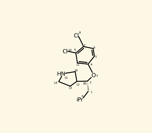 CC(C)C[C@@H](Oc1ccc(Cl)c(Cl)c1)C1CCNC1